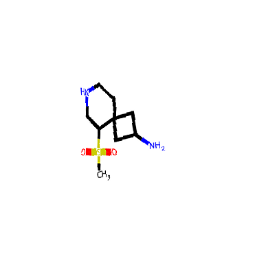 CS(=O)(=O)C1CNCCC12CC(N)C2